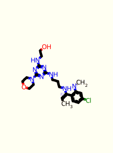 C=Nc1cc(Cl)ccc1/C(=C\C)NCCCNc1nc(NCCO)nc(N2CCOCC2)n1